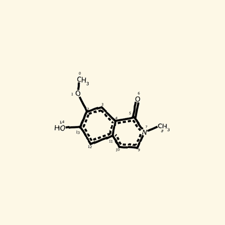 COc1cc2c(=O)n(C)ccc2cc1O